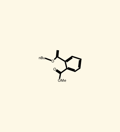 C=C(OCCCC)c1ccccc1C(=O)OC